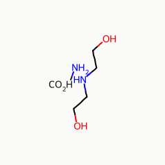 NC(=O)O.OCCNCCO